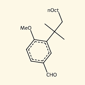 CCCCCCCCCC(C)(C)c1cc(C=O)ccc1OC